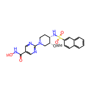 CO[C@@H]1CN(c2ncc(C(=O)NO)cn2)CC[C@@H]1NS(=O)(=O)c1ccc2ccccc2c1